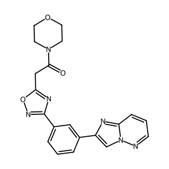 O=C(Cc1nc(-c2cccc(-c3cn4ncccc4n3)c2)no1)N1CCOCC1